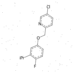 CC(C)c1cc(OCc2ccc(Cl)cn2)ccc1F